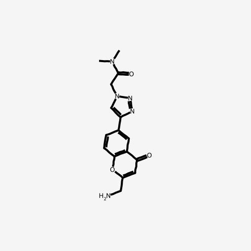 CN(C)C(=O)Cn1cc(-c2ccc3oc(CN)cc(=O)c3c2)nn1